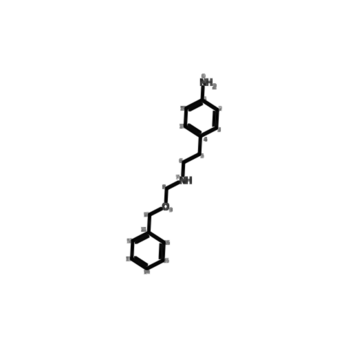 Nc1ccc(CCNCOCc2ccccc2)cc1